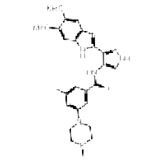 COc1cc2nc(-c3n[nH]cc3NC(=O)c3cc(F)cc(N4CCN(C)CC4)c3)[nH]c2cc1OC